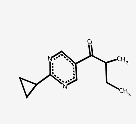 CCC(C)C(=O)c1cnc(C2CC2)nc1